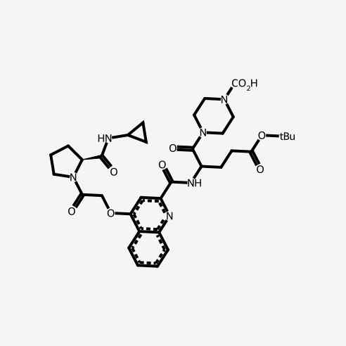 CC(C)(C)OC(=O)CCC(NC(=O)c1cc(OCC(=O)N2CCC[C@H]2C(=O)NC2CC2)c2ccccc2n1)C(=O)N1CCN(C(=O)O)CC1